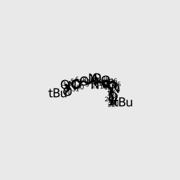 CC(C)(C)OC(=O)N1CCC(OCc2noc(-c3cc4c(CO[Si](C)(C)C(C)(C)C)nccc4o3)n2)CC1